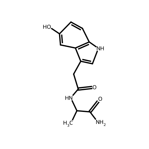 CC(NC(=O)Cc1c[nH]c2ccc(O)cc12)C(N)=O